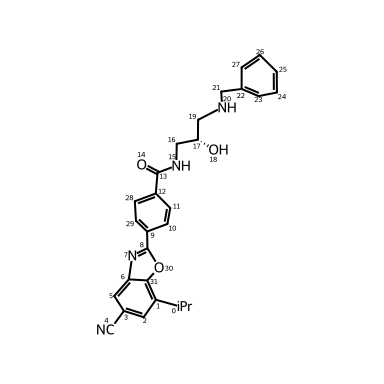 CC(C)c1cc(C#N)cc2nc(-c3ccc(C(=O)NC[C@@H](O)CNCc4ccccc4)cc3)oc12